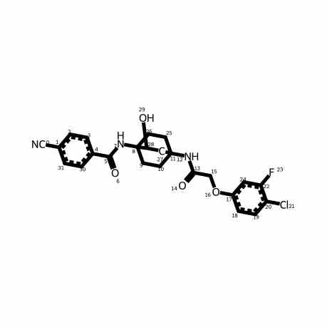 N#Cc1ccc(C(=O)NC23CCC(NC(=O)COc4ccc(Cl)c(F)c4)(CC2)CC3O)cc1